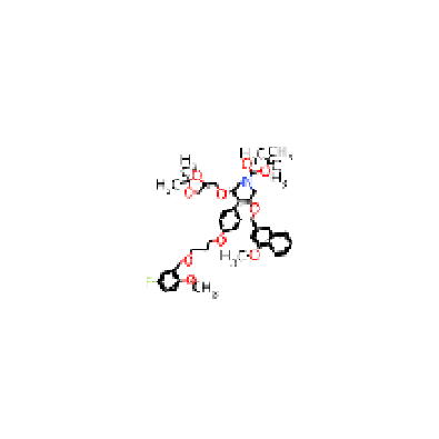 COc1ccc(F)cc1COCCCOc1ccc([C@@H]2[C@@H](OCc3cc(OC)c4ccccc4c3)CN(C(=O)OC(C)(C)C)C[C@H]2OC[C@H]2COC(C)(C)O2)cc1